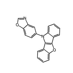 c1ccc2c(c1)oc1c3ccccc3n(-c3ccc4ocnc4c3)c21